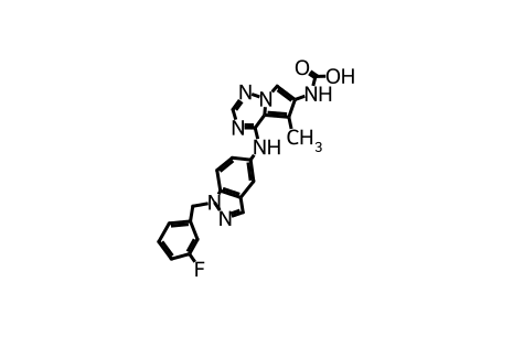 Cc1c(NC(=O)O)cn2ncnc(Nc3ccc4c(cnn4Cc4cccc(F)c4)c3)c12